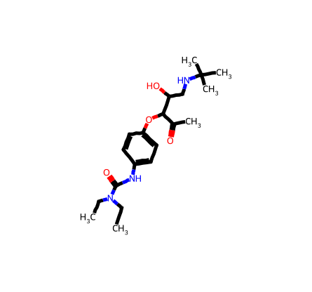 CCN(CC)C(=O)Nc1ccc(OC(C(C)=O)C(O)CNC(C)(C)C)cc1